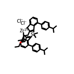 CCCCC1=C2c3c(-c4ccc(C(C)C)cc4)cccc3[CH]1[Zr+2][CH]1C(CCCC)=C(c3c(-c4ccc(C(C)C)cc4)cccc31)[Si]2(C)C.[Cl-].[Cl-]